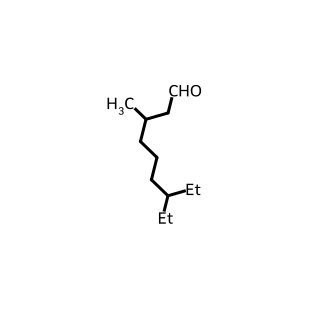 CCC(CC)CCCC(C)CC=O